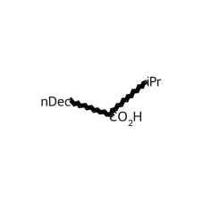 CCCCCCCCCCCCCCCCCCCCCCC(CCCCCCCCCCCCCC(C)C)C(=O)O